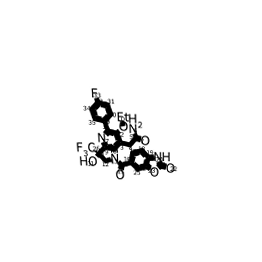 CCOc1c(CC(N)=O)cc([C@@](O)(CNC(=O)c2ccc3[nH]c(=O)oc3c2)C(F)(F)F)nc1-c1ccc(F)cc1